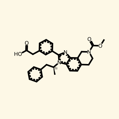 COC(=O)N1CCc2ccc3c(nc(-c4cccc(CC(=O)O)c4)n3[C@@H](C)Cc3ccccc3)c2C1